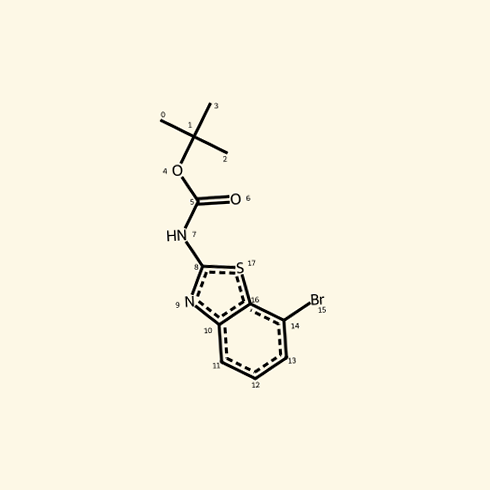 CC(C)(C)OC(=O)Nc1nc2cccc(Br)c2s1